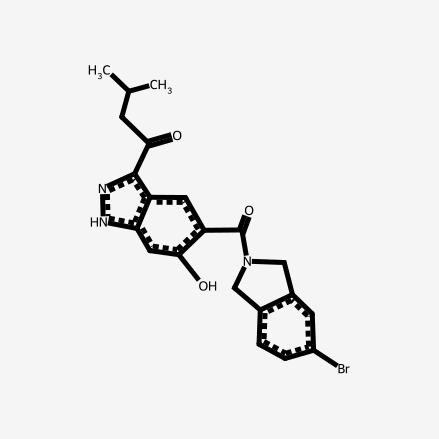 CC(C)CC(=O)c1n[nH]c2cc(O)c(C(=O)N3Cc4ccc(Br)cc4C3)cc12